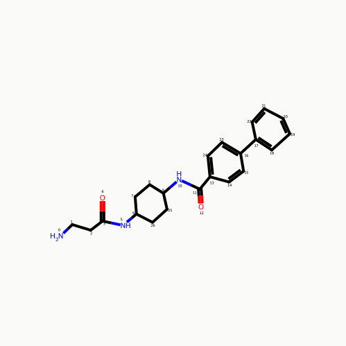 NCCC(=O)NC1CCC(NC(=O)c2ccc(-c3ccccc3)cc2)CC1